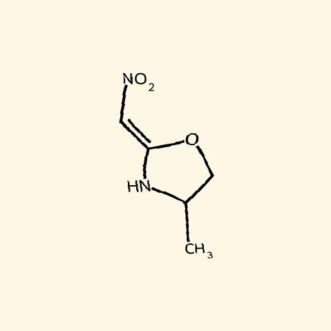 CC1COC(=C[N+](=O)[O-])N1